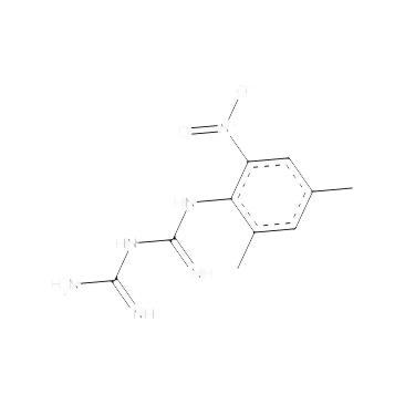 Cc1cc(C)c(NC(=N)NC(=N)N)c([N+](=O)[O-])c1